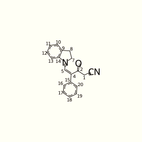 N#CCC(=O)/C(=C\N1CCc2ccccc21)c1ccccc1